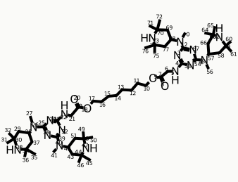 CN(c1nc(NCC(=O)OCCCCCCCCOC(=O)CNc2nc(N(C)C3CC(C)(C)NC(C)(C)C3)nc(N(C)C3CC(C)(C)NC(C)(C)C3)n2)nc(N(C)C2CC(C)(C)NC(C)(C)C2)n1)C1CC(C)(C)NC(C)(C)C1